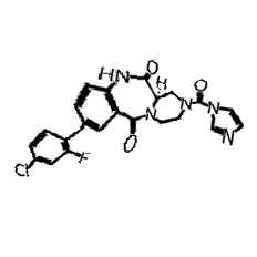 O=C1Nc2ccc(-c3ccc(Cl)cc3F)cc2C(=O)N2CCN(C(=O)n3ccnc3)C[C@H]12